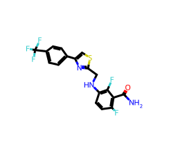 NC(=O)c1c(F)ccc(NCc2nc(-c3ccc(C(F)(F)F)cc3)cs2)c1F